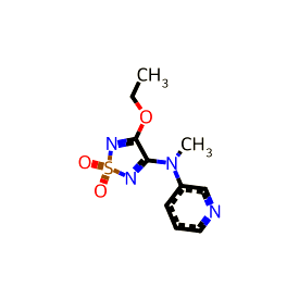 CCOC1=NS(=O)(=O)N=C1N(C)c1cccnc1